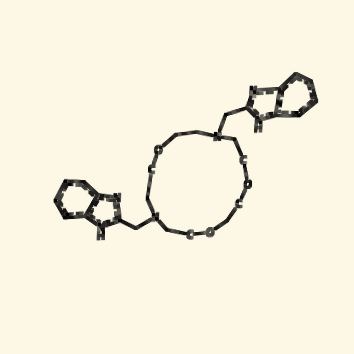 c1ccc2[nH]c(CN3CCOCCOCCN(Cc4nc5ccccc5[nH]4)CCOCC3)nc2c1